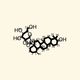 C[C@H]1CCC[C@]2(C(=O)N[C@H]3OC(CO)[C@@H](O)[C@@H](O)C3O)CC[C@]3(C)C(=CCC4[C@@]5(C)CC[C@H](O)C(C)(C)C5CC[C@]43C)C12